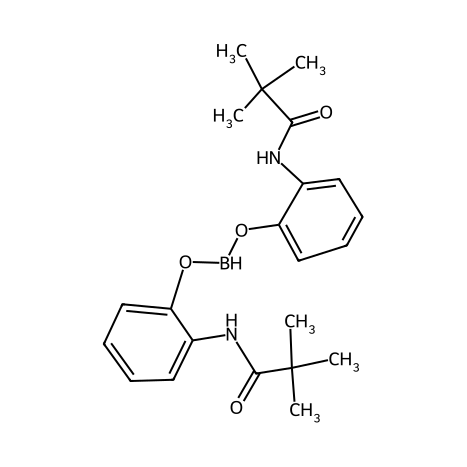 CC(C)(C)C(=O)Nc1ccccc1OBOc1ccccc1NC(=O)C(C)(C)C